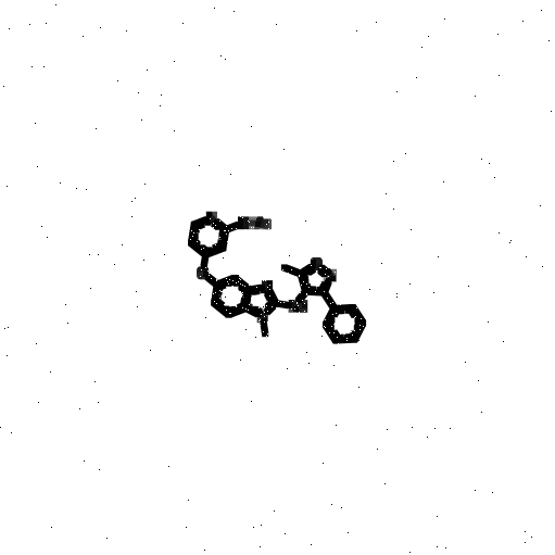 CC(=O)Nc1cc(Oc2ccc3c(c2)nc(Nc2c(-c4ccccc4)noc2C)n3C)ccn1